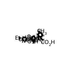 CCOc1ccc(S(=O)(=O)N2CCC(n3nc(CC(=O)O)c4ccc(C)cc43)[C@@H]3C[C@@H]32)cn1